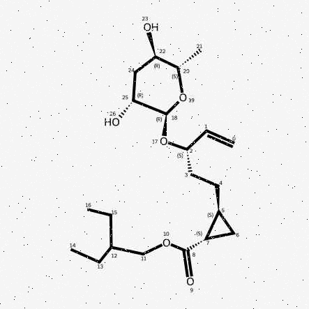 C=C[C@H](CC[C@H]1C[C@@H]1C(=O)OCC(CC)CC)O[C@@H]1O[C@@H](C)[C@H](O)C[C@H]1O